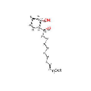 CCCCCCCCC=CCCCCCCCC(=O)c1ccccc1O